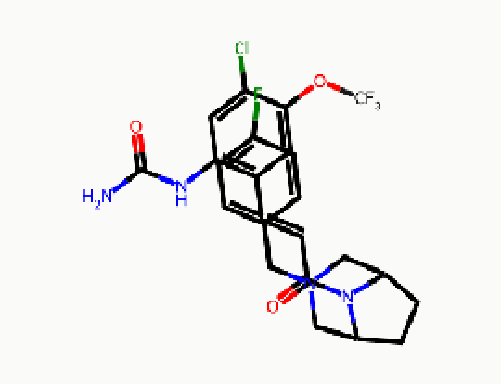 NC(=O)Nc1cc(Cl)c(OC(F)(F)F)cc1C=CC(=O)N1C2CCC1CN(Cc1ccc(F)cc1)C2